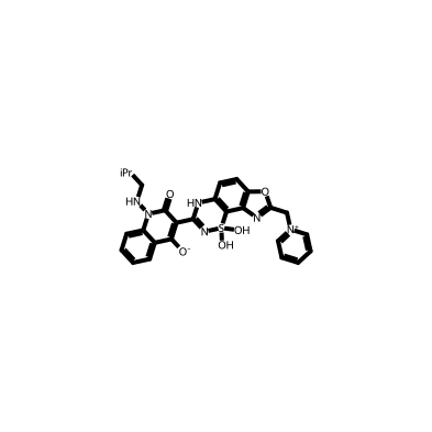 CC(C)CNn1c(=O)c(C2=NS(O)(O)c3c(ccc4oc(C[n+]5ccccc5)nc34)N2)c([O-])c2ccccc21